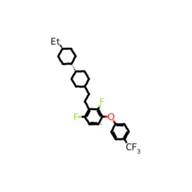 CC[C@H]1CC[C@H](C2CCC(CCc3c(F)c[c]c(Oc4ccc(C(F)(F)F)cc4)c3F)CC2)CC1